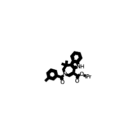 Cc1cccc(C(=O)N2C=C(C(=O)OC(C)C)c3[nH]c4ccccc4c3C(C)(C)C2)c1